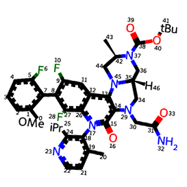 COc1cccc(F)c1-c1c(F)cc2c3c(c(=O)n(-c4c(C)ccnc4C(C)C)c2c1F)N(CC(N)=O)C[C@H]1CN(C(=O)OC(C)(C)C)[C@H](C)CN31